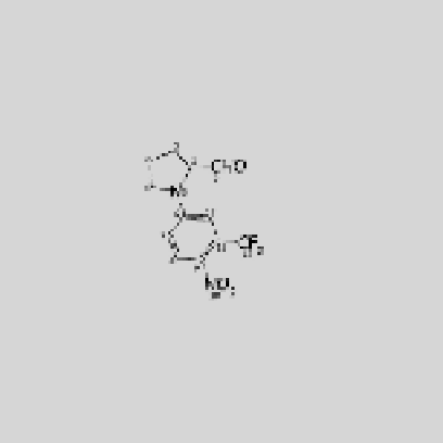 O=C[C@H]1CCCN1c1ccc([N+](=O)[O-])c(C(F)(F)F)c1